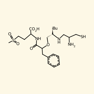 CC[C@H](C)[C@@H](COC(Cc1ccccc1)C(=O)NC(CCS(C)(=O)=O)C(=O)O)NCC(N)CS